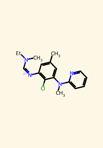 CCN(C)/C=N\c1cc(C)cc(N(C)c2ccccn2)c1Cl